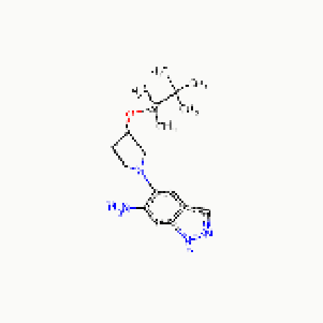 CC(C)(C)[Si](C)(C)OC1CCN(c2cc3cn[nH]c3cc2N)C1